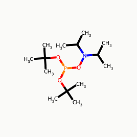 CC(C)N(OP(OC(C)(C)C)OC(C)(C)C)C(C)C